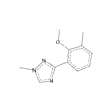 COc1c(C)cccc1-c1ncn(C)n1